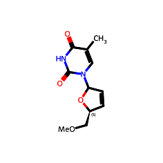 COC[C@@H]1C=CC(n2cc(C)c(=O)[nH]c2=O)O1